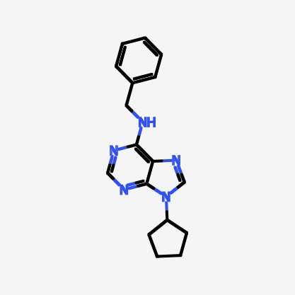 c1ccc(CNc2ncnc3c2ncn3C2CCCC2)cc1